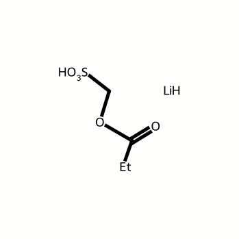 CCC(=O)OCS(=O)(=O)O.[LiH]